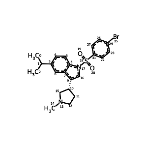 CC(C)c1ccc2c(c1)c([C@@H]1CCN(C)C1)cn2S(=O)(=O)c1ccc(Br)cc1